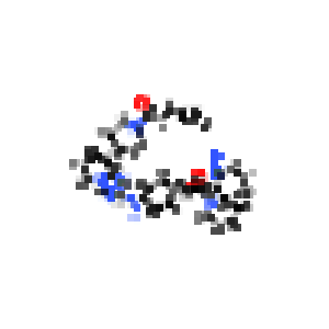 O=C(CCC(F)(F)F)N1CC=C(c2cccn3nc(Nc4ccc(C5O[C@H]5N5CCCCC56CCCNC6)cc4)nc23)CC1